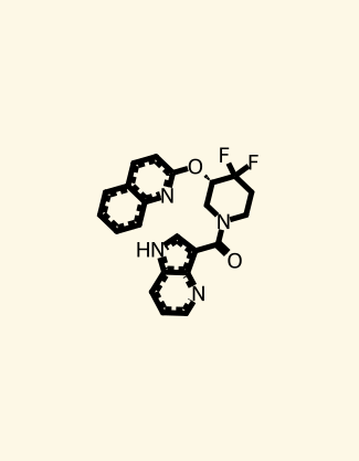 O=C(c1c[nH]c2cccnc12)N1CCC(F)(F)[C@@H](Oc2ccc3ccccc3n2)C1